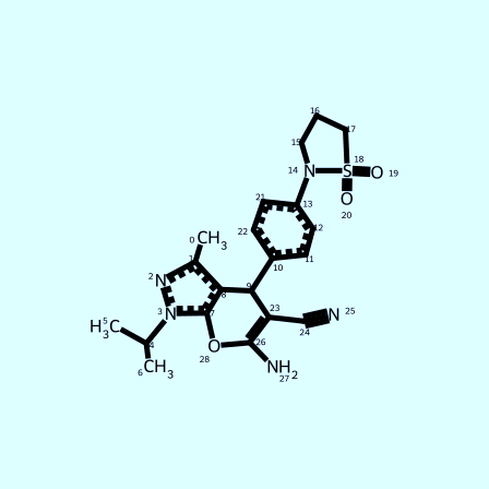 Cc1nn(C(C)C)c2c1C(c1ccc(N3CCCS3(=O)=O)cc1)C(C#N)=C(N)O2